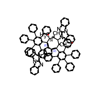 C=C1/C(c2c(-c3ccccc3)c(-c3ccccc3)c(-c3ccccc3)c(-c3ccccc3)c2-c2ccccc2)=c2/ccc(-n3c4ccccc4n4c5ccccc5nc34)c/c2=C(\c2c(-c3ccccc3)c(-c3ccccc3)c(-c3ccccc3)c(-c3ccccc3)c2-c2ccccc2)[C@@H](C)[C@@H](C)C1n1c2ccccc2n2c3ccccc3nc12